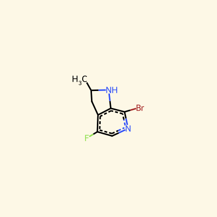 CC1Cc2c(F)cnc(Br)c2N1